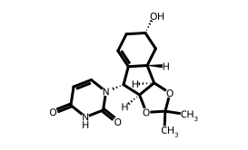 CC1(C)O[C@@H]2[C@H](O1)[C@H]1C[C@@H](O)CC=C1[C@H]2n1ccc(=O)[nH]c1=O